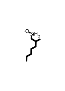 CCCCCC(C)C[SiH2][O]